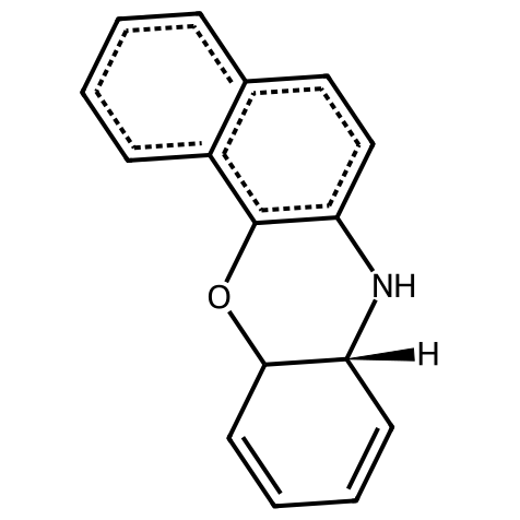 C1=CC2Oc3c(ccc4ccccc34)N[C@@H]2C=C1